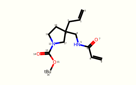 C=CCC1(CNC(=O)C=C)CCN(C(=O)OC(C)(C)C)C1